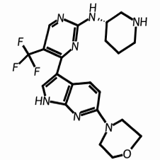 FC(F)(F)c1cnc(N[C@H]2CCCNC2)nc1-c1c[nH]c2nc(N3CCOCC3)ccc12